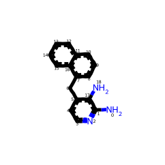 Nc1nccc(Cc2cccc3ccccc23)c1N